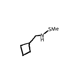 CSNCC1CCC1